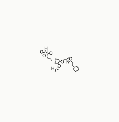 COc1cc(CCCC2OC(=O)NC2=O)ccc1OCc1coc(C=Cc2ccccc2)n1